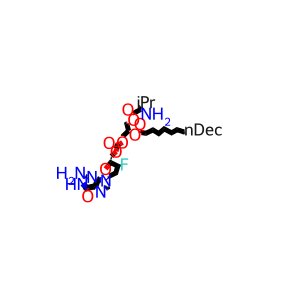 CCCCCCCCCCCCCCCCCC(=O)OC(COC(=O)OC[C@H]1O[C@@H](n2cnc3c(=O)[nH]c(N)nc32)C[C@@H]1F)COC(=O)[C@@H](N)C(C)C